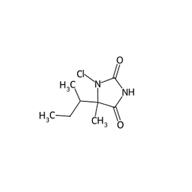 CCC(C)C1(C)C(=O)NC(=O)N1Cl